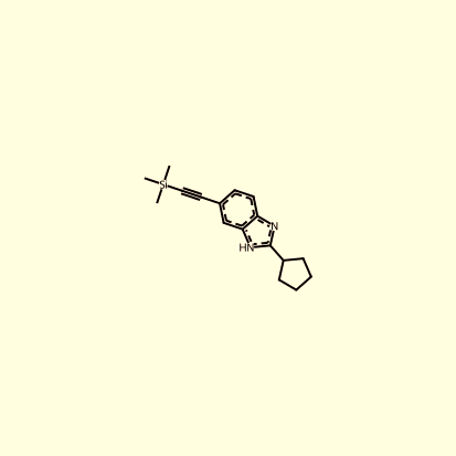 C[Si](C)(C)C#Cc1ccc2nc(C3CCCC3)[nH]c2c1